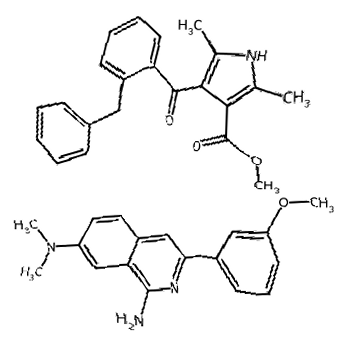 COC(=O)c1c(C)[nH]c(C)c1C(=O)c1ccccc1Cc1ccccc1.COc1cccc(-c2cc3ccc(N(C)C)cc3c(N)n2)c1